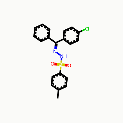 Cc1ccc(S(=O)(=O)NN=C(c2ccccc2)c2ccc(Cl)cc2)cc1